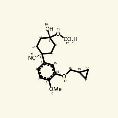 COc1ccc([C@]2(C#N)CC[C@@](O)(OC(=O)O)CC2)cc1OCC1CC1